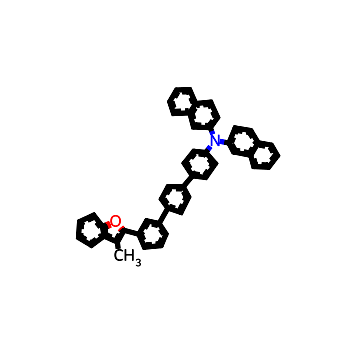 Cc1c(-c2cccc(-c3ccc(-c4ccc(N(c5ccc6ccccc6c5)c5ccc6ccccc6c5)cc4)cc3)c2)oc2ccccc12